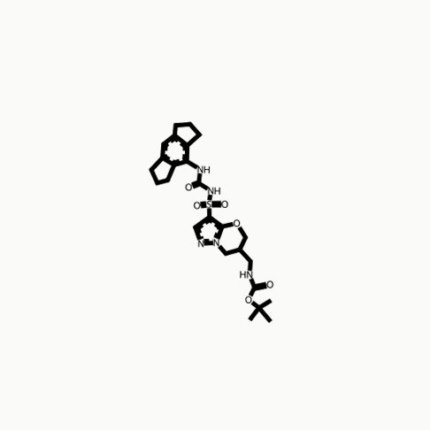 CC(C)(C)OC(=O)NCC1COc2c(S(=O)(=O)NC(=O)Nc3c4c(cc5c3CCC5)CCC4)cnn2C1